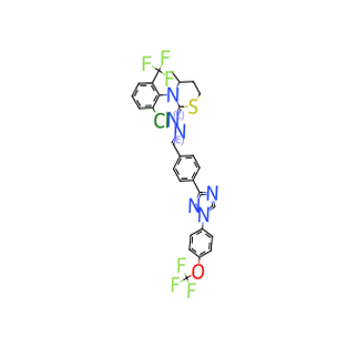 CC1CCS/C(=N\N=C\c2ccc(-c3ncn(-c4ccc(OC(F)(F)F)cc4)n3)cc2)N1c1c(Cl)cccc1C(F)(F)F